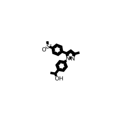 Cc1cc(-c2ccc([S+](C)[O-])cc2)n(-c2ccc(C(C)O)cc2)n1